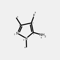 Cc1nn(C)c(N)c1F